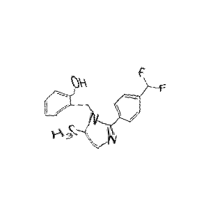 Cc1cnc(-c2ccc(C(F)F)cc2)n1Cc1ccccc1O